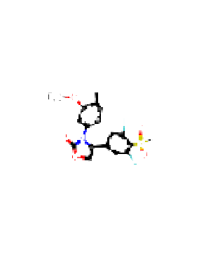 Cc1ccc(-n2c(-c3cc(F)c(S(C)(=O)=O)c(F)c3)coc2=O)cc1OC(F)(F)F